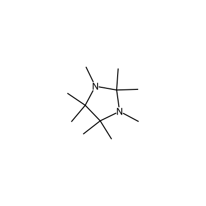 CN1C(C)(C)N(C)C(C)(C)C1(C)C